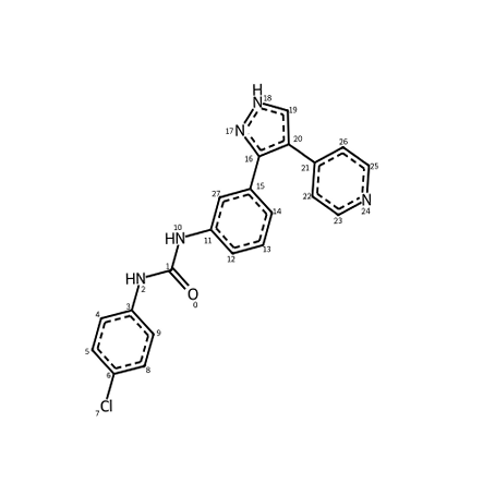 O=C(Nc1ccc(Cl)cc1)Nc1cccc(-c2n[nH]cc2-c2ccncc2)c1